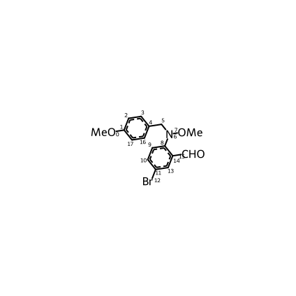 COc1ccc(CN(OC)c2ccc(Br)cc2C=O)cc1